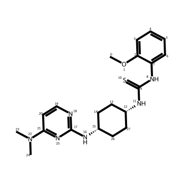 COc1ccccc1NC(=S)N[C@H]1CC[C@@H](Nc2nccc(N(C)C)n2)CC1